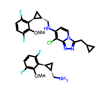 COc1c(F)ccc(F)c1[C@H]1C[C@@H]1CN.COc1c(F)ccc(F)c1[C@H]1C[C@@H]1CNc1ccn2c(CC3CC3)nnc2c1Cl